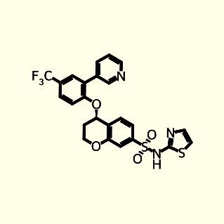 O=S(=O)(Nc1nccs1)c1ccc2c(c1)OCC[C@H]2Oc1ccc(C(F)(F)F)cc1-c1cccnc1